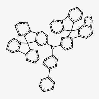 c1ccc(-c2ccc(N(c3ccc4c(c3)C3(c5ccccc5-c5ccccc53)c3ccccc3-4)c3ccc4c(c3)C3(c5ccccc5-c5ccccc53)c3c-4ccc4ccccc34)cc2)cc1